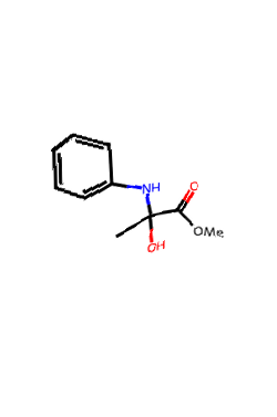 COC(=O)C(C)(O)Nc1ccccc1